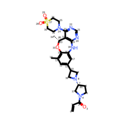 C=CC(=O)N1CC[C@@H](N2CC(c3cc(C)c4c(c3)Nc3ncnc(N5CCS(=O)(=O)CC5)c3[C@@H](C)O4)C2)C1